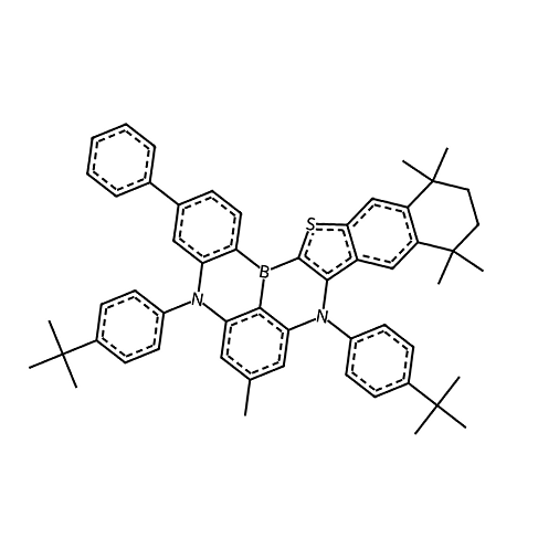 Cc1cc2c3c(c1)N(c1ccc(C(C)(C)C)cc1)c1c(sc4cc5c(cc14)C(C)(C)CCC5(C)C)B3c1ccc(-c3ccccc3)cc1N2c1ccc(C(C)(C)C)cc1